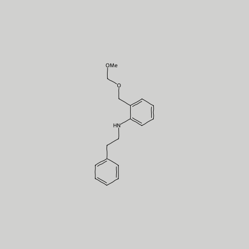 COCOCc1ccccc1NCCc1ccccc1